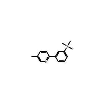 Cc1ccc(-c2cccc([Si](C)(C)C)c2)nc1